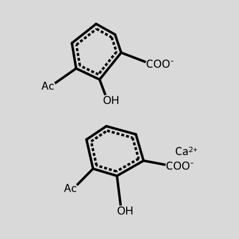 CC(=O)c1cccc(C(=O)[O-])c1O.CC(=O)c1cccc(C(=O)[O-])c1O.[Ca+2]